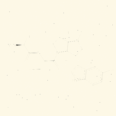 CN[C@@H](C)C(=O)N[C@@H](CO)C(=O)N1CC[C@@H]2[C@H]1[C@@H](c1c[nH]c3ccc(C)cc13)CN2C(C)=O